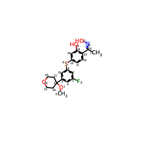 COC1(c2cc(F)cc(Sc3ccc(/C(C)=N\O)c(O)c3)c2)CCOCC1